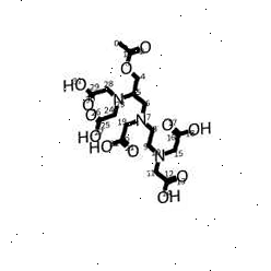 CC(=O)OCC(CN(CCN(CC(=O)O)CC(=O)O)CC(=O)O)N(CC(=O)O)CC(=O)O